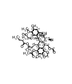 CCCC(=O)O[C@H](C)CS[C@@H]1c2c(OC(C)=O)c(C)c3c(c2[C@H](COC=O)N2C1[C@@H]1c4c(cc(C)c(OC)c4OCOC)C[C@@H]([C@@H]2C#N)N1C)OCO3